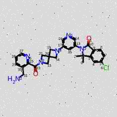 CC1(C)c2cc(Cl)ccc2C(=O)N1c1cncc(N2CC3(CN(C(=O)c4ncccc4CN)C3)C2)c1